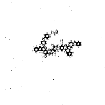 O.O.O=C(Oc1cc(-c2oc3ccccc3c(=O)c2C(=O)N2CCN(Cc3ccccc3)CC2)cc(O)c1O)C(O)C(O)C(=O)Oc1cc(-c2oc3ccccc3c(=O)c2C(=O)N2CCN(Cc3ccccc3)CC2)cc(O)c1O